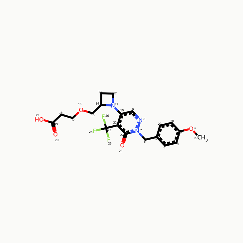 COc1ccc(Cn2ncc(N3CCC3COCCC(=O)O)c(C(F)(F)F)c2=O)cc1